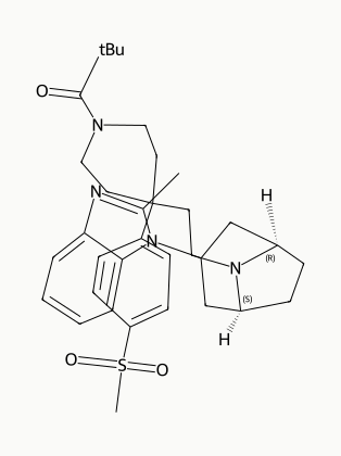 Cc1nc2ccccc2n1C1C[C@H]2CC[C@@H](C1)N2CCC1(c2ccc(S(C)(=O)=O)cc2)CCN(C(=O)C(C)(C)C)CC1